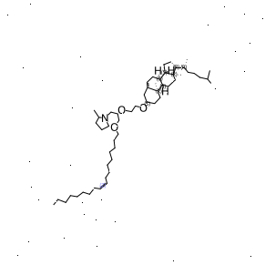 CCCCCCCC/C=C\CCCCCCCCOCC(CN1CCCC1C)OCCO[C@H]1CC[C@@]2(C)C(=CC[C@H]3[C@@H]4CC[C@H]([C@H](C)CCCC(C)C)[C@@]4(C)CC[C@@H]32)C1